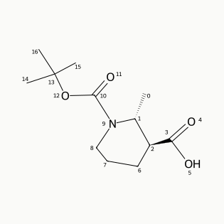 C[C@@H]1[C@@H](C(=O)O)CCCN1C(=O)OC(C)(C)C